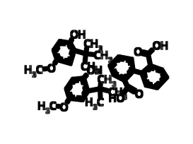 COc1ccc(O)c(C(C)(C)C)c1.COc1ccc(O)c(C(C)(C)C)c1.O=C(O)c1ccccc1-c1ccccc1C(=O)O